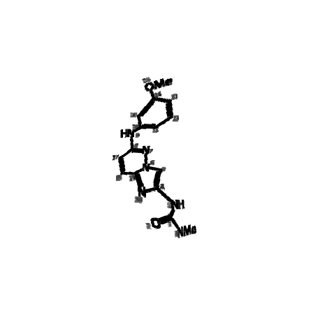 CNC(=O)Nc1cn2nc(Nc3cccc(OC)c3)ccc2n1